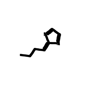 CCCC=C1N=CC=N1